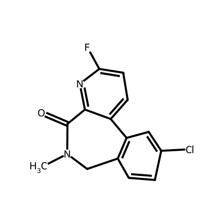 CN1Cc2ccc(Cl)cc2-c2ccc(F)nc2C1=O